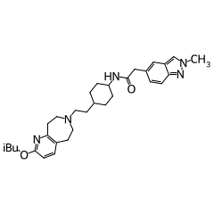 CCC(C)Oc1ccc2c(n1)CCN(CCC1CCC(NC(=O)Cc3ccc4nn(C)cc4c3)CC1)CC2